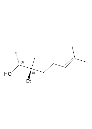 CC[C@@](C)(CCC=C(C)C)[C@@H](C)O